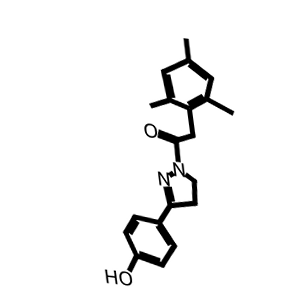 Cc1cc(C)c(CC(=O)N2CCC(c3ccc(O)cc3)=N2)c(C)c1